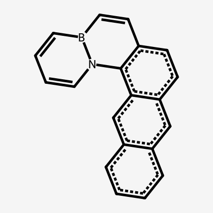 C1=CB2C=Cc3ccc4cc5ccccc5cc4c3N2C=C1